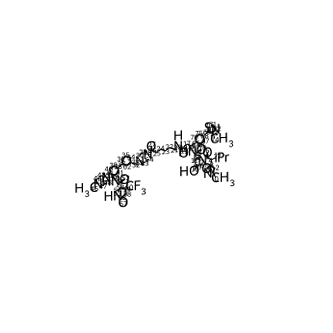 Cc1cc(C(C(=O)N2C[C@H](O)C[C@H]2C(=O)NC(CC(=O)NCCCCCC(=O)N2CCN(Cc3cccc(-c4ccc(N5CCN(C)CC5)c(NC(=O)c5c[nH]c(=O)cc5C(F)(F)F)c4)c3)CC2)c2ccc(-c3scnc3C)cc2)C(C)C)on1